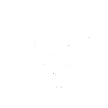 C=C(C)c1ccc2c(c1)c1c(C(=O)O)cccc1n2CCC